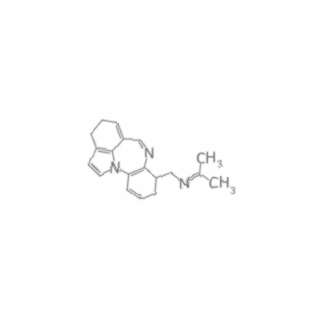 CC(C)=NCC1CC=CC2=C1N=CC1=CCCc3ccn2c31